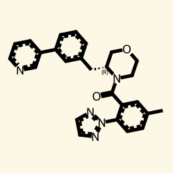 Cc1ccc(-n2nccn2)c(C(=O)N2CCOC[C@H]2Cc2cccc(-c3cccnc3)c2)c1